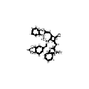 CCN1/C(=C\C2=C(SCc3ccc4c(c3)OCO4)C(=C\c3sc4ccccc4[n+]3CC)/C2=O)Oc2ccccc21